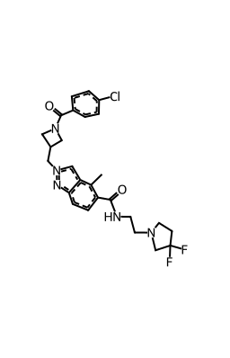 Cc1c(C(=O)NCCN2CCC(F)(F)C2)ccc2nn(CC3CN(C(=O)c4ccc(Cl)cc4)C3)cc12